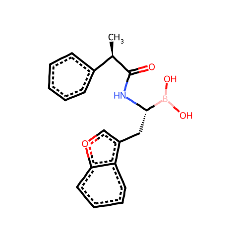 C[C@@H](C(=O)N[C@@H](Cc1coc2ccccc12)B(O)O)c1ccccc1